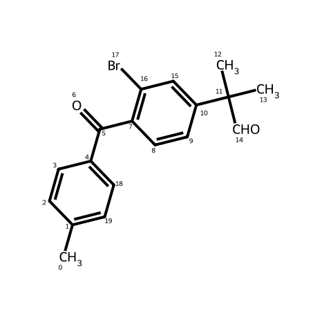 Cc1ccc(C(=O)c2ccc(C(C)(C)C=O)cc2Br)cc1